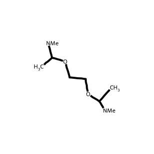 CNC(C)OCCOC(C)NC